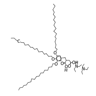 CCCCCCCCCCCCCCCCCCOc1cc(CC(CC(=O)O)C(=O)O)cc(OCCCCCCCCCCCCCCCCCC)c1OCCCCCCCCCCCCCCCCCC.CCN(CC)CC.CCN(CC)CC